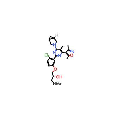 CNC[C@@H](O)COc1ccc(Cl)c(-c2nc(-c3c(C)noc3C)c(C)c(N3CC4C[C@@H]4C3)n2)c1